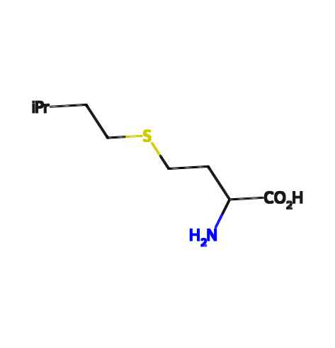 CC(C)CCSCCC(N)C(=O)O